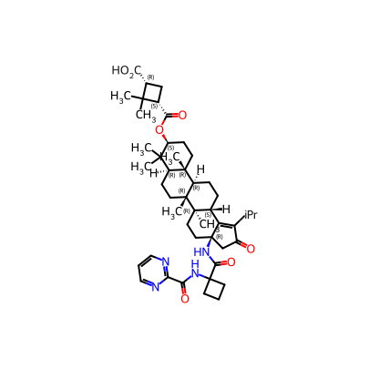 CC(C)C1=C2[C@H]3CC[C@@H]4[C@@]5(C)CC[C@H](OC(=O)[C@H]6C[C@@H](C(=O)O)C6(C)C)C(C)(C)[C@@H]5CC[C@@]4(C)[C@]3(C)CC[C@@]2(NC(=O)C2(NC(=O)c3ncccn3)CCC2)CC1=O